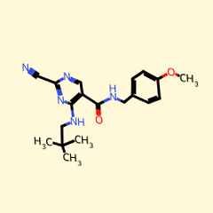 COc1ccc(CNC(=O)c2cnc(C#N)nc2NCC(C)(C)C)cc1